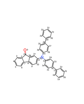 O=C1c2ccccc2-c2ccc(N(c3ccc(-c4ccccc4)cc3)c3ccc(-c4ccccc4)cc3)cc21